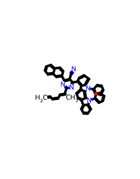 C=C/C=C\C=C(/C)c1nc(-c2ccc3ccccc3c2)c(C#N)c(-c2cccc3c2c2ccc4c5ccccc5n(-c5ccccc5)c4c2n3-c2ccccc2)n1